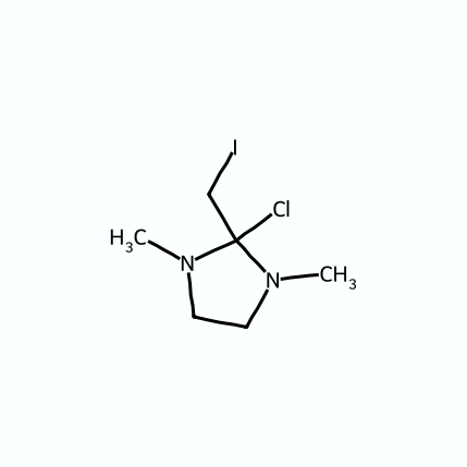 CN1CCN(C)C1(Cl)CI